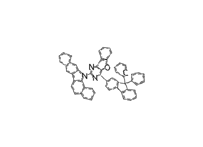 c1ccc(C2(c3ccccc3)c3ccccc3-c3ccc(-c4nc(-n5c6cc7ccccc7cc6c6ccc7ccccc7c65)nc5c4oc4ccccc45)cc32)cc1